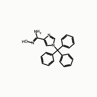 NC(=NO)c1cn(C(c2ccccc2)(c2ccccc2)c2ccccc2)cn1